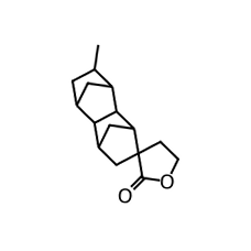 CC1CC2CC1C1C2C2CC1C1(CCOC1=O)C2